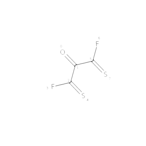 O=C(C(F)=S)C(F)=S